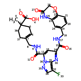 CC1(C(=O)O)CC=C(CNC(=O)c2cc(C(=O)NCc3ccc4c(c3)NC(=O)CO4)nc3c(F)cnn23)CC1